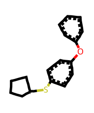 c1ccc(Oc2ccc(S[C]3CCCC3)cc2)cc1